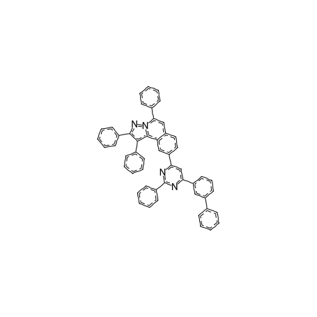 c1ccc(-c2cccc(-c3cc(-c4ccc5cc(-c6ccccc6)n6nc(-c7ccccc7)c(-c7ccccc7)c6c5c4)nc(-c4ccccc4)n3)c2)cc1